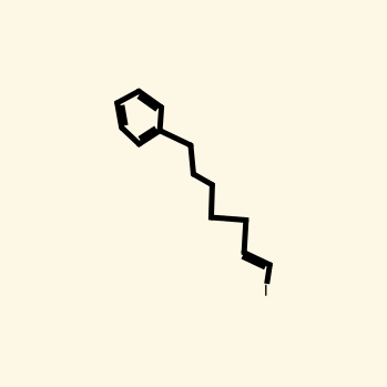 I/C=C/CCCCCc1ccccc1